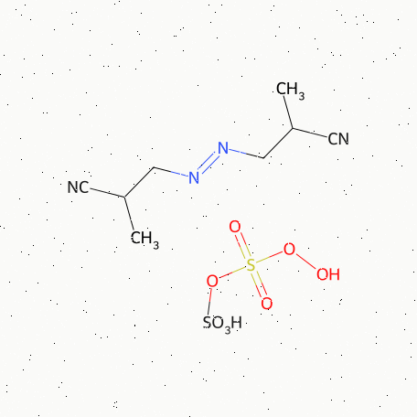 CC(C#N)CN=NCC(C)C#N.O=S(=O)(O)OS(=O)(=O)OO